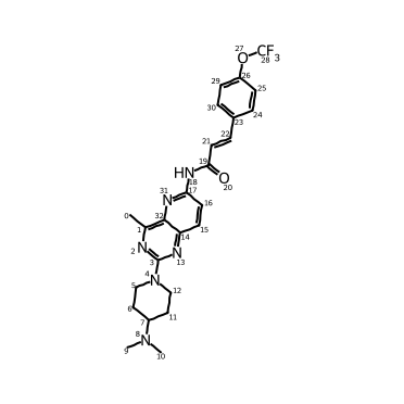 Cc1nc(N2CCC(N(C)C)CC2)nc2ccc(NC(=O)/C=C/c3ccc(OC(F)(F)F)cc3)nc12